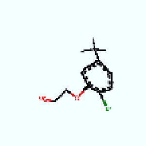 CC(C)(C)c1ccc(Br)c(OCCO)c1